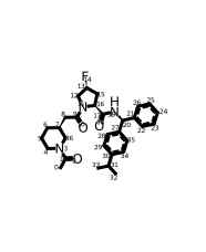 CC(=O)N1CCC[C@@H](CC(=O)N2C[C@H](F)C[C@H]2C(=O)N[C@@H](c2ccccc2)c2ccc(C(C)C)cc2)C1